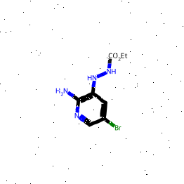 CCOC(=O)NNc1cc(Br)cnc1N